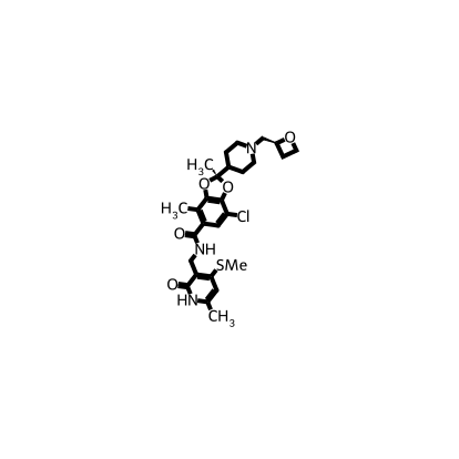 CSc1cc(C)[nH]c(=O)c1CNC(=O)c1cc(Cl)c2c(c1C)O[C@@](C)(C1CCN(C[C@@H]3CCO3)CC1)O2